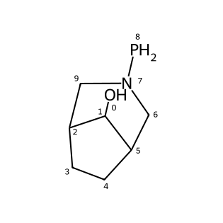 OC1C2CCC1CN(P)C2